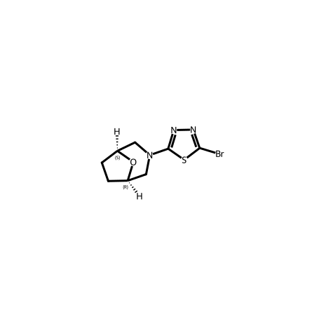 Brc1nnc(N2C[C@H]3CC[C@@H](C2)O3)s1